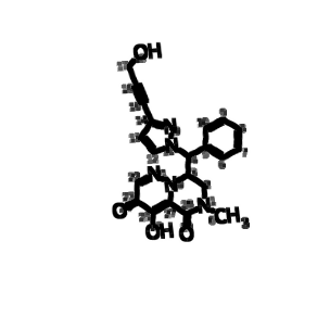 CN1CC(C(c2ccccc2)n2ccc(C#CCO)n2)n2ncc(=O)c(O)c2C1=O